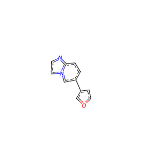 c1cn2cc(-c3ccoc3)ccc2n1